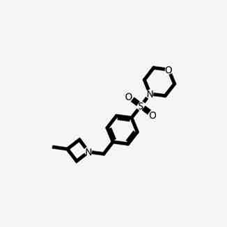 CC1CN(Cc2ccc(S(=O)(=O)N3CCOCC3)cc2)C1